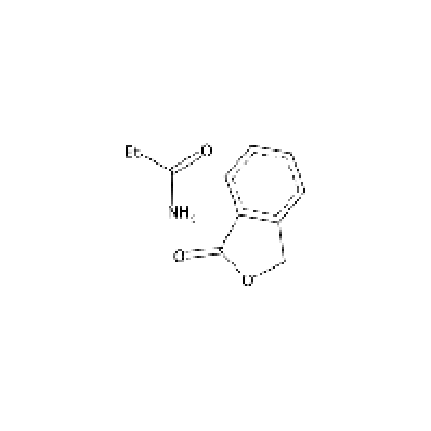 CCC(N)=O.O=C1OCc2ccccc21